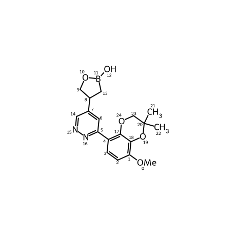 COc1ccc(-c2cc(C3COB(O)C3)cnn2)c2c1OC(C)(C)CO2